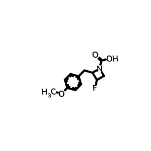 COc1ccc(CC2C(F)CN2C(=O)O)cc1